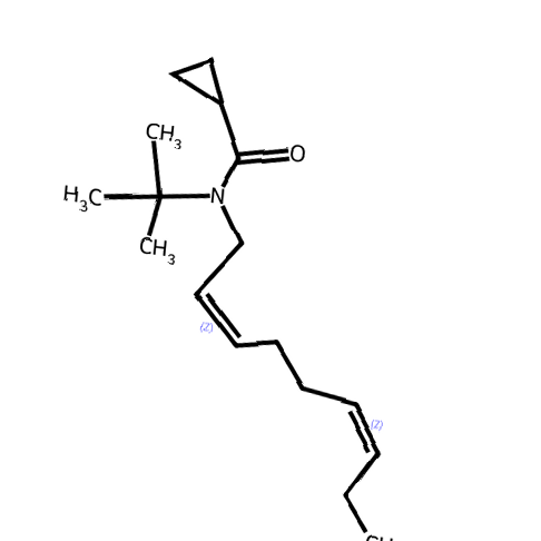 CC/C=C\CC/C=C\CN(C(=O)C1CC1)C(C)(C)C